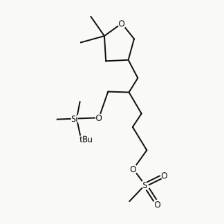 CC1(C)CC(CC(CCCOS(C)(=O)=O)CO[Si](C)(C)C(C)(C)C)CO1